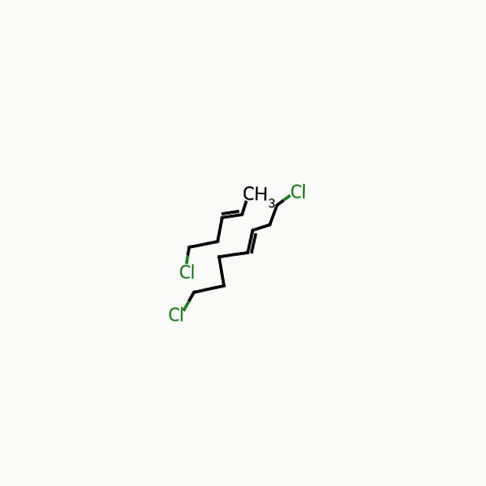 CC=CCCCl.ClCCC=CCCCCl